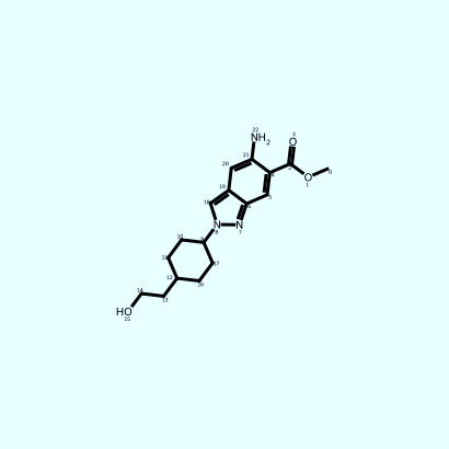 COC(=O)c1cc2nn(C3CCC(CCO)CC3)cc2cc1N